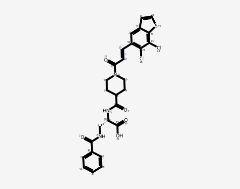 O=C(NC[C@H](NC(=O)C1CCN(C(=O)/C=C/c2cc3ccsc3c(Cl)c2Cl)CC1)C(=O)O)c1ccccc1